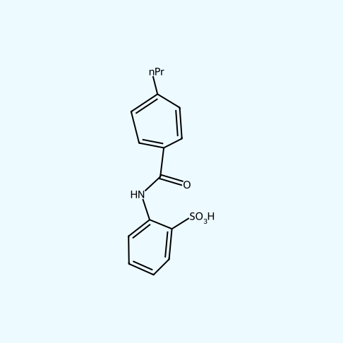 CCCc1ccc(C(=O)Nc2ccccc2S(=O)(=O)O)cc1